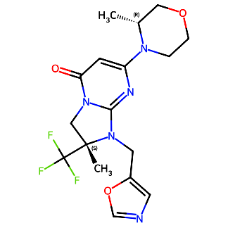 C[C@@H]1COCCN1c1cc(=O)n2c(n1)N(Cc1cnco1)[C@](C)(C(F)(F)F)C2